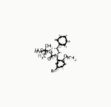 C.COc1ccc(Br)cc1N(CCc1ccccc1)C(=O)OC(C)(C)C